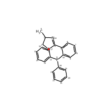 CC1COC(c2ccccc2P(c2ccccc2)c2ccccc2)=N1